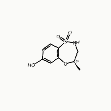 C[C@@H]1CNS(=O)(=O)c2ccc(O)cc2O1